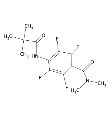 CN(C)C(=O)c1c(F)c(F)c(NC(=O)C(C)(C)C)c(F)c1F